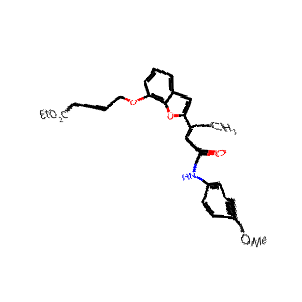 CCOC(=O)CCCOc1cccc2cc(/C(C)=C/C(=O)Nc3ccc(OC)cc3)oc12